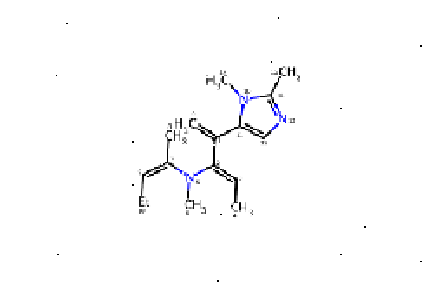 C=C(/C(=C/C)N(C)/C(C)=C\CC)c1cnc(C)n1C